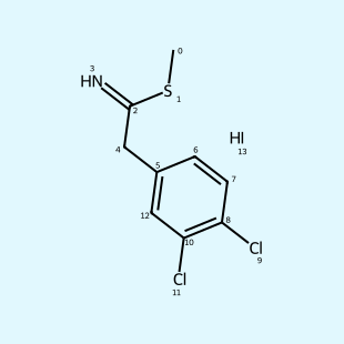 CSC(=N)Cc1ccc(Cl)c(Cl)c1.I